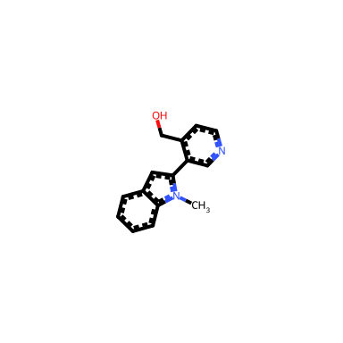 Cn1c(-c2cnccc2CO)cc2ccccc21